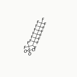 O=S(=O)(Cl)C(F)(F)C(F)C(F)(F)C(F)(F)C(F)(F)C(F)(F)C(F)(F)C(F)(F)F